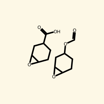 O=C(O)C1CCC2OC2C1.O=COC1CCC2OC2C1